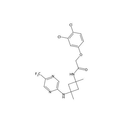 CC1(NC(=O)COc2ccc(Cl)c(Cl)c2)CC(C)(Nc2cnc(C(F)(F)F)cn2)C1